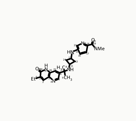 CCc1cc2ncc(C(C)(C)NC3CC(Nc4ccc(C(=O)NC)nc4)C3)cc2[nH]c1=O